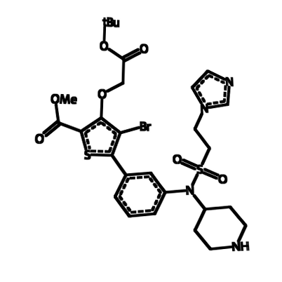 COC(=O)c1sc(-c2cccc(N(C3CCNCC3)S(=O)(=O)CCn3ccnc3)c2)c(Br)c1OCC(=O)OC(C)(C)C